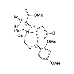 COC(=O)[C@@H](N[N+]1(CC(C)(C)C)C(=O)CO[C@H](c2ccc(OC)cc2OC)c2cc(Cl)ccc21)[C@H](C(C)=O)C(C)C